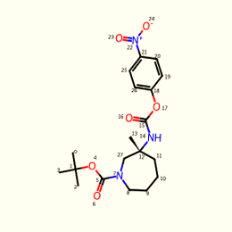 CC(C)(C)OC(=O)N1CCCC[C@@](C)(NC(=O)Oc2ccc([N+](=O)[O-])cc2)C1